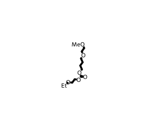 CCOCCOC(=O)OCCCCOCCOC